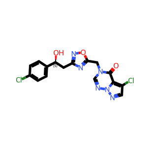 O=c1c2c(Cl)cnn2ncn1Cc1nc(C[C@H](O)c2ccc(Cl)cc2)no1